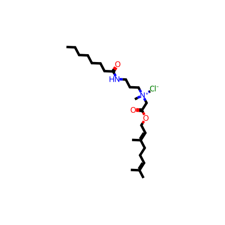 CCCCCCCC(=O)NCCC[N+](C)(C)CC(=O)OC/C=C(\C)CCC=C(C)C.[Cl-]